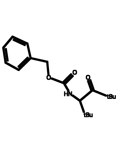 CC(C)(C)C(=O)C(NC(=O)OCc1ccccc1)C(C)(C)C